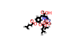 CC(C)CCC(=O)Oc1ccc(CC(N)(C[C@H](C)OC(=O)OC(C)C)C(=O)O)cc1OC(=O)CCC(C)C